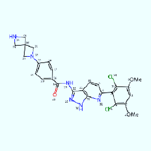 COc1cc(OC)c(Cl)c(-c2ccc3c(NC(=O)c4ccc(N5CC6(CNC6)C5)cc4)n[nH]c3n2)c1Cl